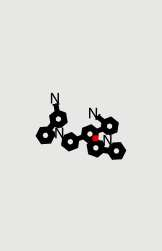 N#Cc1ccc2c(c1)c1ccccc1n2-c1cccc(-c2ccc(-c3c(C#N)cccc3-n3c4ccccc4c4ccccc43)cc2)c1